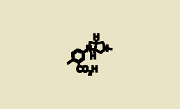 Cc1ccc(N2C[C@@H]3CN(C)C[C@@H]32)cc1C(=O)O